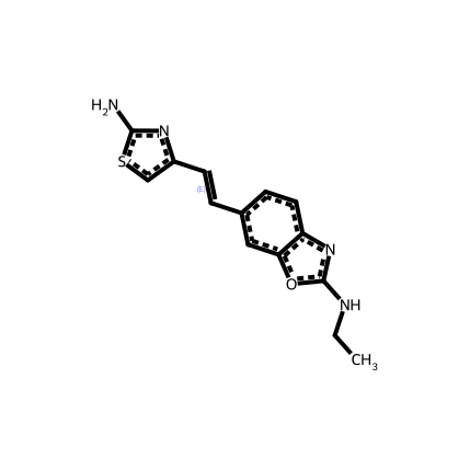 CCNc1nc2ccc(/C=C/c3csc(N)n3)cc2o1